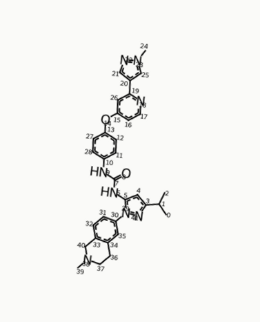 CC(C)c1cc(NC(=O)Nc2ccc(Oc3ccnc(-c4cnn(C)c4)c3)cc2)n(-c2ccc3c(c2)CCN(C)C3)n1